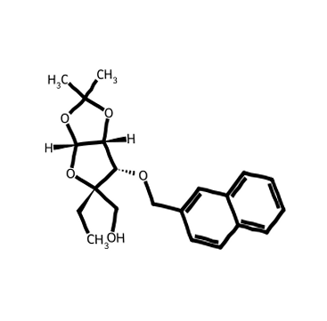 CC[C@@]1(CO)O[C@@H]2OC(C)(C)O[C@@H]2[C@@H]1OCc1ccc2ccccc2c1